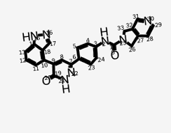 O=C(Nc1ccc(-c2cc(-c3cccc4[nH]ncc34)c(=O)[nH]n2)cc1)N1Cc2ccncc2C1